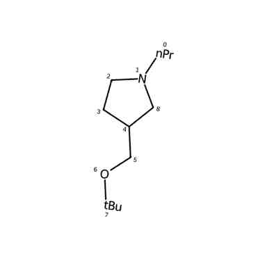 CCCN1CCC(COC(C)(C)C)C1